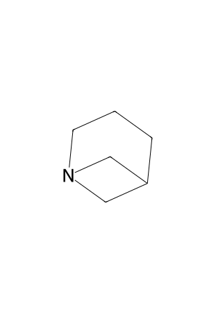 C1CC2CN(C1)C2